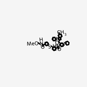 COCCNC(=O)c1cccc(SCc2cccc(C(=O)Nc3ccc(N4CCCCC4)cc3C(=O)c3cc4ccc(C)cc4n3-c3ccccc3)c2)c1